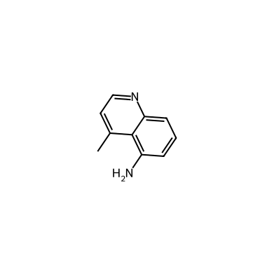 Cc1ccnc2cccc(N)c12